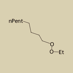 CCCCCCCCCOOCC